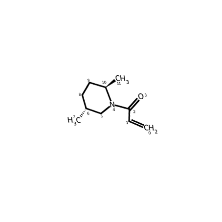 C=CC(=O)N1C[C@H](C)CC[C@H]1C